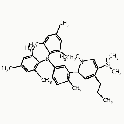 CCCC1=CC(c2cc(B(c3c(C)cc(C)cc3C)c3c(C)cc(C)cc3C)ccc2C)N(C)C=C1[SiH](C)C